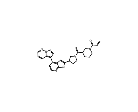 C=CC(=O)N1CCCC(C(=O)N2CCC(c3cc4c(-c5cnn6ncccc56)ccnc4[nH]3)C2)C1